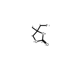 CC1(CF)COC(=O)O1